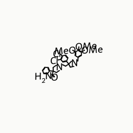 COc1cc(CN2CCC(CCN3CCC(C(N)=O)(c4ccccc4)CC3)(c3ccc(Cl)c(Cl)c3)C2)cc(OC)c1OC